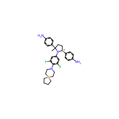 CC1(c2ccc(N)cc2)CC[C@@H](c2ccc(N)cc2)N1c1cc(F)c(N2CCS3(CCCC3)CC2)c(F)c1